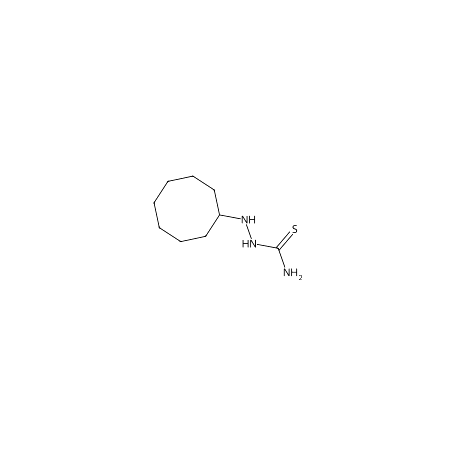 NC(=S)NNC1CCCCCCC1